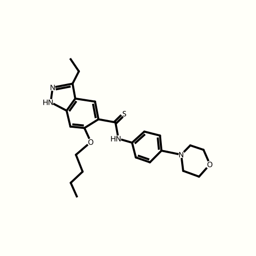 CCCCOc1cc2[nH]nc(CC)c2cc1C(=S)Nc1ccc(N2CCOCC2)cc1